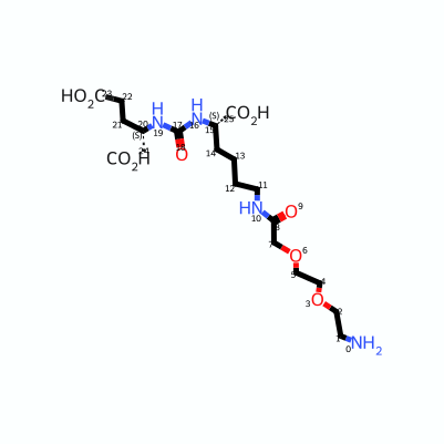 NCCOCCOCC(=O)NCCCC[C@H](NC(=O)N[C@@H](CCC(=O)O)C(=O)O)C(=O)O